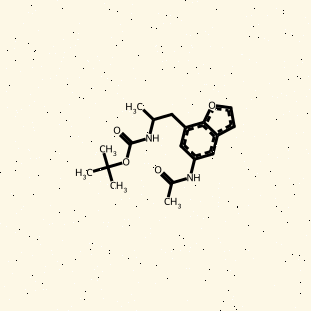 CC(=O)Nc1cc(CC(C)NC(=O)OC(C)(C)C)c2occc2c1